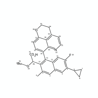 Cc1cc2cc(C3CC3)c(F)cc2c(-c2ccc3c4c(ccnc24)CCO3)c1C(OC(C)(C)C)C(=O)O